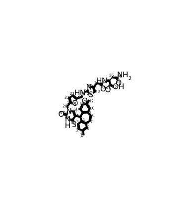 Cc1ccc2c(c1)C=Cc1cc(C)ccc1C2c1cn(Cc2ccc(C(=O)Nc3nc(CC(=O)N[C@@H](CC(N)=O)C(=O)O)cs3)o2)c(=O)[nH]c1=S